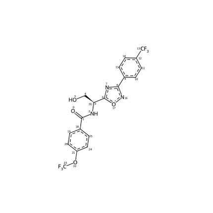 O=C(N[C@@H](CO)c1nc(-c2ccc(C(F)(F)F)cc2)no1)c1ccc(OC(F)(F)F)cc1